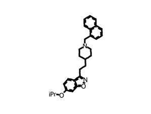 CC(C)Oc1ccc2c(CCC3CCN(Cc4cccc5ccccc45)CC3)noc2c1